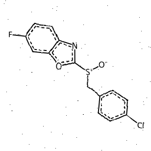 [O-][S+](Cc1ccc(Cl)cc1)c1nc2ccc(F)cc2o1